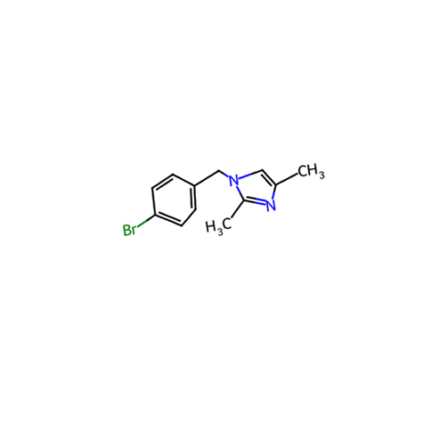 Cc1cn(Cc2ccc(Br)cc2)c(C)n1